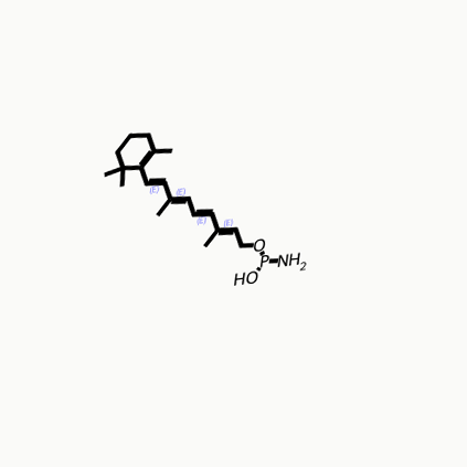 CC1=C(/C=C/C(C)=C/C=C/C(C)=C/COP(N)O)C(C)(C)CCC1